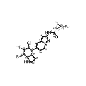 O=C(Nc1cc2cc(-c3c(Cl)c(F)c(Br)c4[nH]ncc34)ccn2n1)[C@@H]1C[C@@H]1F